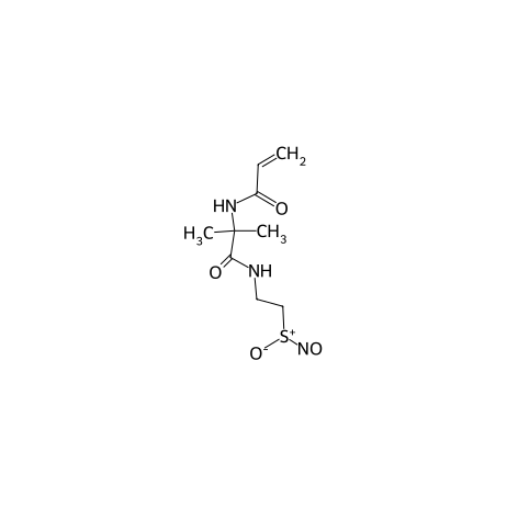 C=CC(=O)NC(C)(C)C(=O)NCC[S+]([O-])N=O